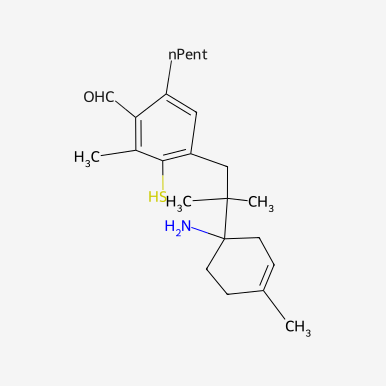 CCCCCc1cc(CC(C)(C)C2(N)CC=C(C)CC2)c(S)c(C)c1C=O